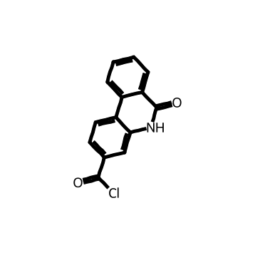 O=C(Cl)c1ccc2c(c1)[nH]c(=O)c1ccccc12